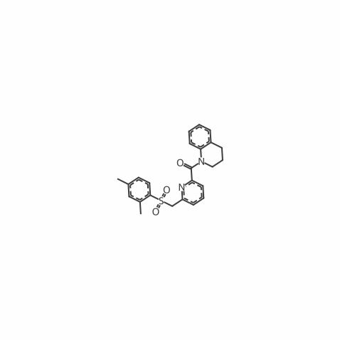 Cc1ccc(S(=O)(=O)Cc2cccc(C(=O)N3CCCc4ccccc43)n2)c(C)c1